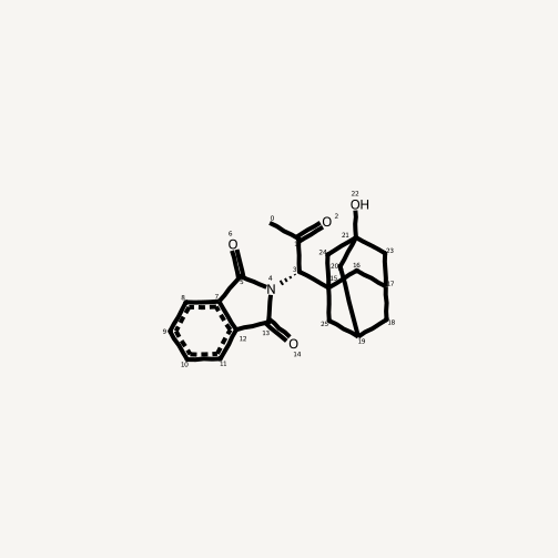 CC(=O)[C@@H](N1C(=O)c2ccccc2C1=O)C12CC3CC(CC(O)(C3)C1)C2